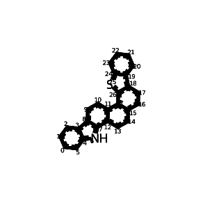 c1ccc2c(c1)[nH]c1c2ccc2c1ccc1ccc3c4ccccc4sc3c12